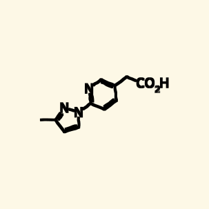 Cc1ccn(-c2ccc(CC(=O)O)cn2)n1